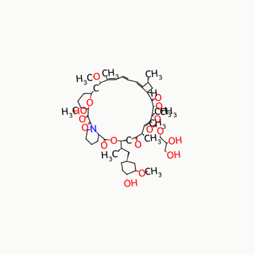 CO[C@H]1CC2CC[C@@H](C)[C@@](O)(O2)C(=O)C(=O)N2CCCCC2C(=O)O[C@H]([C@H](C)C[C@@H]2CC[C@@H](O)[C@H](OC)C2)CC(=O)[C@H](C)/C=C(\C)[C@@](C)(OC(=O)OCC(O)CO)[C@@H](OC)C(=O)[C@H]2C[C@H](C)/C2=C/C=C/C=C/1C